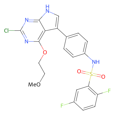 COCCOc1nc(Cl)nc2[nH]cc(-c3ccc(NS(=O)(=O)c4cc(F)ccc4F)cc3)c12